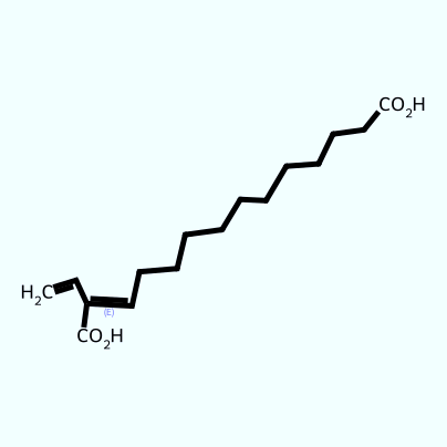 C=C/C(=C\CCCCCCCCCCC(=O)O)C(=O)O